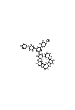 N#Cc1ccc(-c2cc(-c3ccc(-c4cccnc4)cc3)nc(-c3ccc4c5ccccc5c5ccccc5c5ccccc5c5ccccc5c4c3)n2)cc1